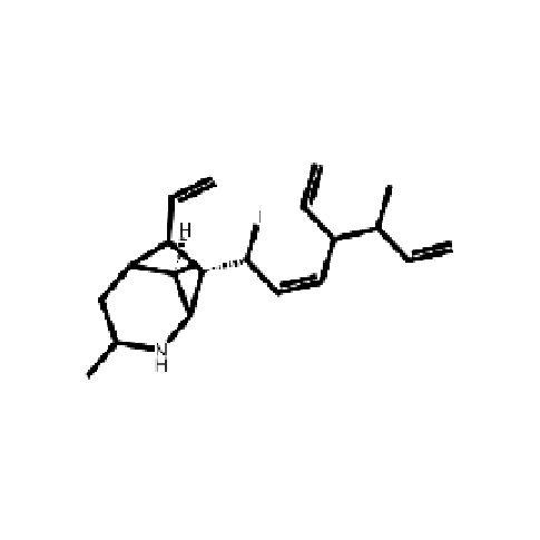 C=CC(C)C(C=C)/C=C\C(I)[C@H]1C(C=C)C2CC(C)NC1[C@@H]2C